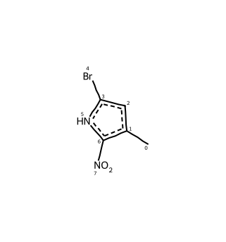 Cc1cc(Br)[nH]c1[N+](=O)[O-]